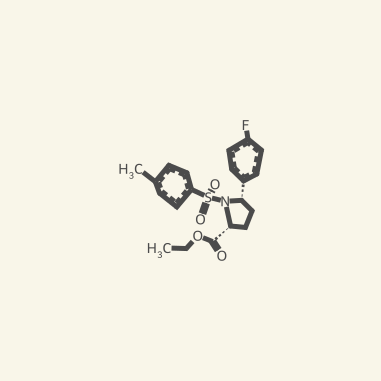 CCOC(=O)[C@H]1CC[C@@H](c2ccc(F)cc2)N1S(=O)(=O)c1ccc(C)cc1